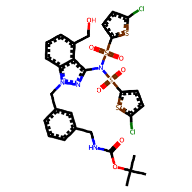 CC(C)(C)OC(=O)NCc1cccc(Cn2nc(N(S(=O)(=O)c3ccc(Cl)s3)S(=O)(=O)c3ccc(Cl)s3)c3c(CO)cccc32)c1